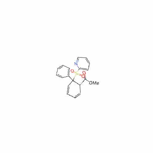 COC(=O)C1C=CC=CC1(c1ccccc1)S(=O)(=O)c1ccccn1